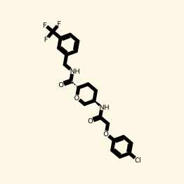 O=C(COc1ccc(Cl)cc1)N[C@@H]1CC[C@@H](C(=O)NCc2cccc(C(F)(F)F)c2)OC1